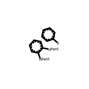 CCCCCc1ccccc1CCCCC.Fc1ccccc1